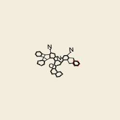 N#Cc1cc2c(c3c1C1c4ccccc4C3c3ccccc31)c1cc3c(oc4ccc5ccccc5c43)c3c4c5c(c(C#N)cc4n2c13)C1c2ccccc2C12c1ccccc1C52